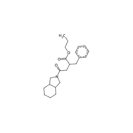 CCCOC(=O)C(CC(=O)N1CC2CCCCC2C1)Cc1ccccc1